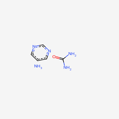 N.NC(N)=O.c1cncnc1